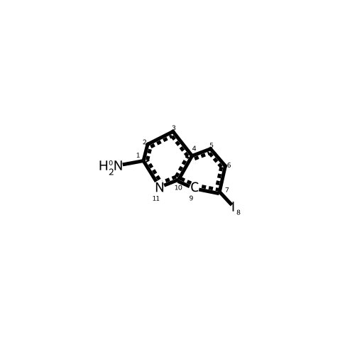 Nc1ccc2ccc(I)cc2n1